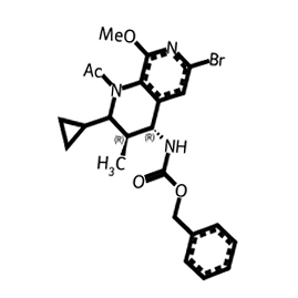 COc1nc(Br)cc2c1N(C(C)=O)C(C1CC1)[C@H](C)[C@H]2NC(=O)OCc1ccccc1